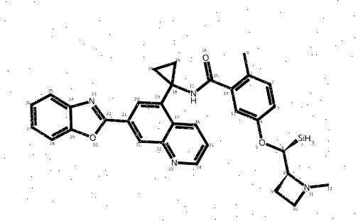 Cc1ccc(O[C@@H]([SiH3])[C@@H]2CCN2C)cc1C(=O)NC1(c2cc(-c3nc4ccccc4o3)cc3ncccc23)CC1